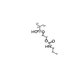 CCCNC(=O)OCCOC(O)C(C)C